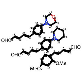 COc1ccc(C=CC=CC=O)c(OC)c1.O=CC=CC=Cc1ccc(N2CCCCC2)cc1.O=CC=CC=Cc1ccc(N2CCOCC2)cc1